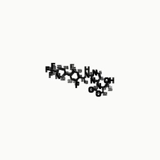 C[C@H](Nc1nccc(N2C(=O)OCC2[C@@H](C)O)n1)c1cc(F)c(-c2ccc(C(F)(F)F)nc2)cc1F